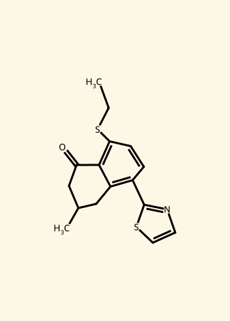 CCSc1ccc(-c2nccs2)c2c1C(=O)CC(C)C2